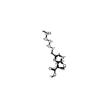 CNOOOSCc1cnc2onc(C(=O)OC)c2n1